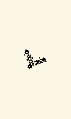 Cn1ccc2c(=O)n(CC3(O)CCN(C(=O)[C@@H]4CCN(C(=O)c5sc(-n6ccccc6=O)nc5Cl)C[C@H]4c4ccccc4)CC3)cnc21